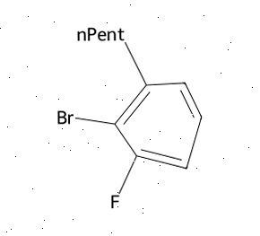 CCCCCc1cccc(F)c1Br